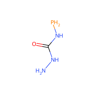 NNC(=O)NP